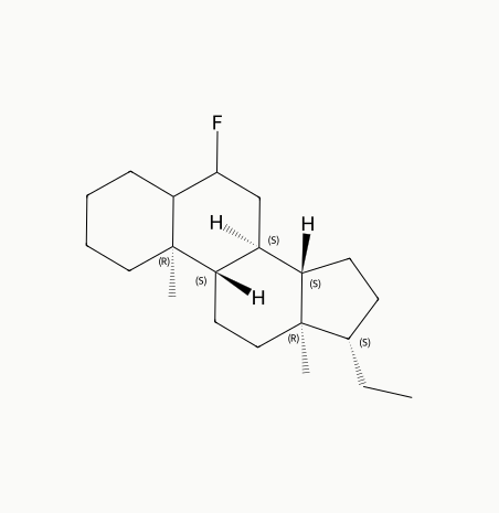 CC[C@H]1CC[C@H]2[C@@H]3CC(F)C4CCCC[C@]4(C)[C@H]3CC[C@]12C